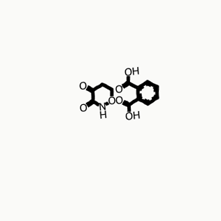 O=C(O)c1ccccc1C(=O)O.O=C1CCONC1=O